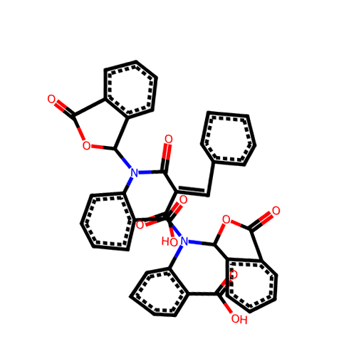 O=C1OC(N(C(=O)C(=Cc2ccccc2)C(=O)N(c2ccccc2C(=O)O)C2OC(=O)c3ccccc32)c2ccccc2C(=O)O)c2ccccc21